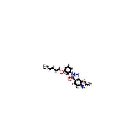 CCC=CCCOc1cccc(NC(=O)c2ccc3nc(C)sc3c2)c1